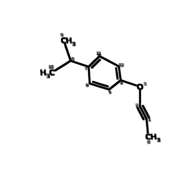 CC#COc1ccc(C(C)C)cc1